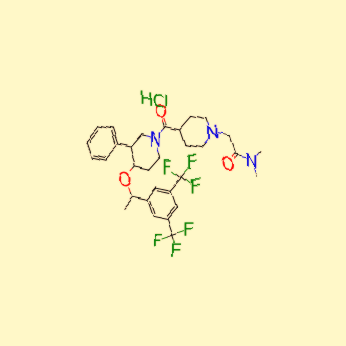 CC(OC1CCN(C(=O)C2CCN(CC(=O)N(C)C)CC2)CC1c1ccccc1)c1cc(C(F)(F)F)cc(C(F)(F)F)c1.Cl